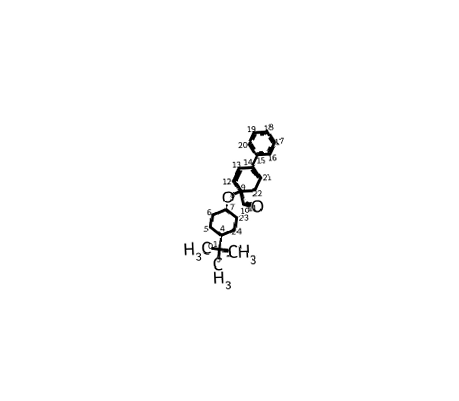 CC(C)(C)[C@H]1CC[C@H](OC2(C=O)C=CC(c3ccccc3)=CC2)CC1